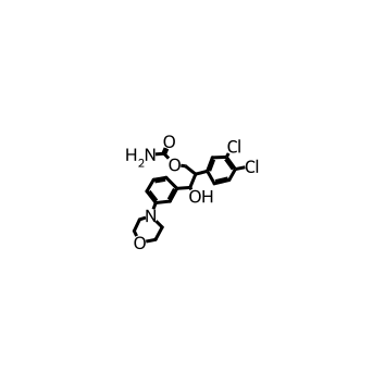 NC(=O)OCC(c1ccc(Cl)c(Cl)c1)C(O)c1cccc(N2CCOCC2)c1